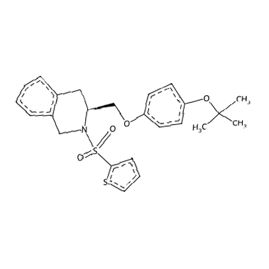 CC(C)(C)Oc1ccc(OC[C@@H]2Cc3ccccc3CN2S(=O)(=O)c2cccs2)cc1